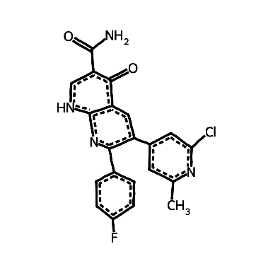 Cc1cc(-c2cc3c(=O)c(C(N)=O)c[nH]c3nc2-c2ccc(F)cc2)cc(Cl)n1